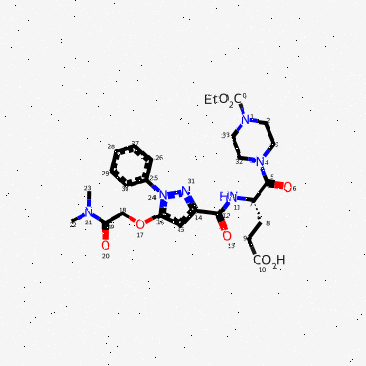 CCOC(=O)N1CCN(C(=O)[C@H](CCC(=O)O)NC(=O)c2cc(OCC(=O)N(C)C)n(-c3ccccc3)n2)CC1